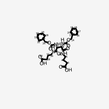 O=C(O)CCCNC(=O)[C@@H](NC(=O)OCc1ccccc1)[C@@H](NC(=O)OCc1ccccc1)C(=O)NCCCC(=O)O